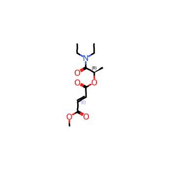 CCN(CC)C(=O)[C@@H](C)OC(=O)/C=C/C(=O)OC